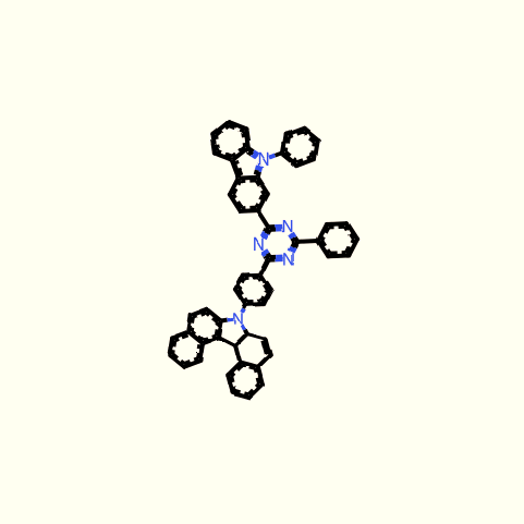 C1=CC2C(c3ccccc31)c1c(ccc3ccccc13)N2c1ccc(-c2nc(-c3ccccc3)nc(-c3ccc4c5ccccc5n(-c5ccccc5)c4c3)n2)cc1